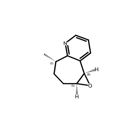 C[C@H]1CC[C@@H]2O[C@@H]2c2cccnc21